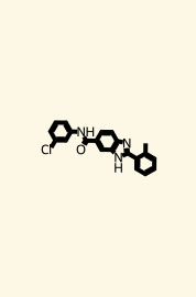 Cc1ccccc1-c1nc2ccc(C(=O)Nc3cccc(Cl)c3)cc2[nH]1